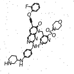 O=c1c(C#COc2ccccc2F)cc2cnc(Nc3ccc(NC4CCCNC4)cc3)nc2n1Cc1cncnc1S(=O)(=O)N1CCOCC1